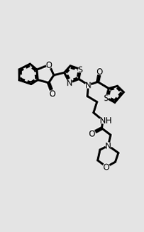 O=C(CN1CCOCC1)NCCCN(C(=O)c1cccs1)c1nc(C2Oc3ccccc3C2=O)cs1